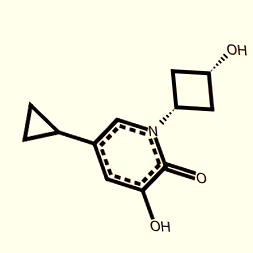 O=c1c(O)cc(C2CC2)cn1[C@H]1C[C@@H](O)C1